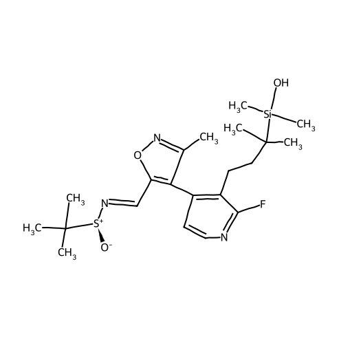 Cc1noc(/C=N/[S@@+]([O-])C(C)(C)C)c1-c1ccnc(F)c1CCC(C)(C)[Si](C)(C)O